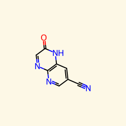 N#Cc1cnc2ncc(=O)[nH]c2c1